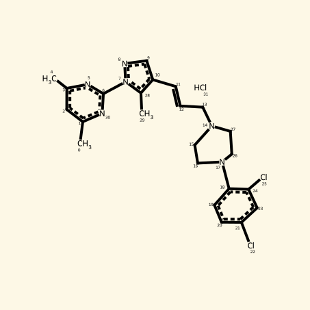 Cc1cc(C)nc(-n2ncc(C=CCN3CCN(c4ccc(Cl)cc4Cl)CC3)c2C)n1.Cl